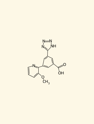 COc1cccnc1-c1cc(C(=O)O)cc(-c2nnn[nH]2)c1